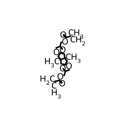 C=C(C)C(=O)OCC1COC2(CC3(C)CC4(CC3(C)C2)OCC(COC(=O)C(=C)C)O4)O1